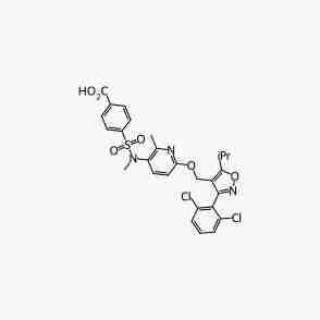 Cc1nc(OCc2c(-c3c(Cl)cccc3Cl)noc2C(C)C)ccc1N(C)S(=O)(=O)c1ccc(C(=O)O)cc1